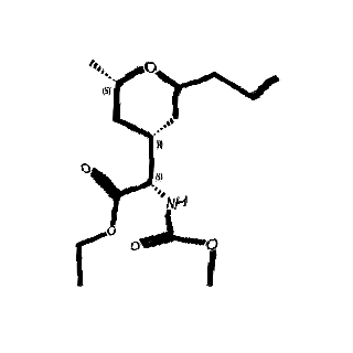 CCCC1C[C@H]([C@H](NC(=O)OC)C(=O)OCC)C[C@H](C)O1